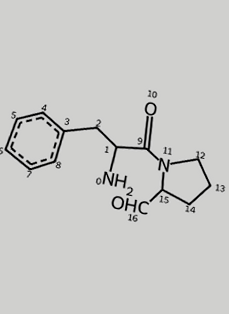 NC(Cc1ccccc1)C(=O)N1CCCC1C=O